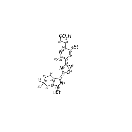 CCc1cc(-c2noc(-c3nn(CC)c4c3CCC(C)(C)C4)n2)c(C)nc1CCC(=O)O